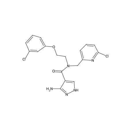 Nc1n[nH]cc1C(=O)N(CCOc1cccc(Cl)c1)Cc1cccc(Cl)n1